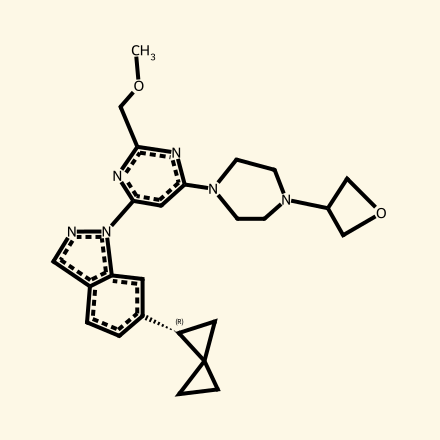 COCc1nc(N2CCN(C3COC3)CC2)cc(-n2ncc3ccc([C@@H]4CC45CC5)cc32)n1